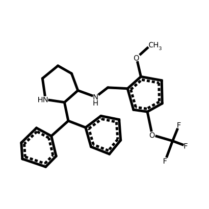 COc1ccc(OC(F)(F)F)cc1CNC1CCCNC1C(c1ccccc1)c1ccccc1